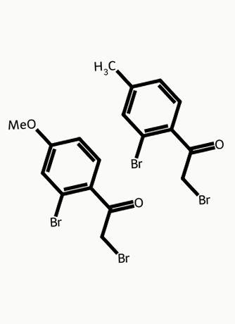 COc1ccc(C(=O)CBr)c(Br)c1.Cc1ccc(C(=O)CBr)c(Br)c1